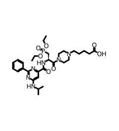 CCOP(=O)(C[C@H](NC(=O)c1cc(NC(C)C)nc(-c2ccccc2)n1)C(=O)N1CCN(CCCCC(=O)O)CC1)OCC